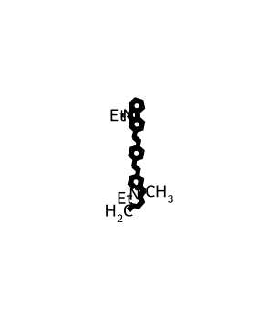 C=C/C=C\c1c(C)c2cc(/C=C/c3ccc(/C=C/c4ccc5c6ccccc6n(CC)c5c4)cc3)ccc2n1CC